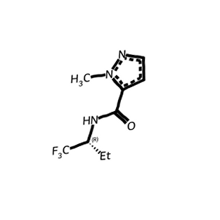 CC[C@@H](NC(=O)c1ccnn1C)C(F)(F)F